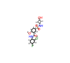 COc1ccc(S(=O)(=O)N[C@H]2C[C@H](O)C2)cc1C(=O)Nc1ccc(F)cc1Cl